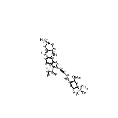 COc1cc(P(C)(C)=O)ccc1NCC#Cc1sc2c(NC3CCN(C)CC3C(F)(F)F)cccc2c1C(F)C(F)F